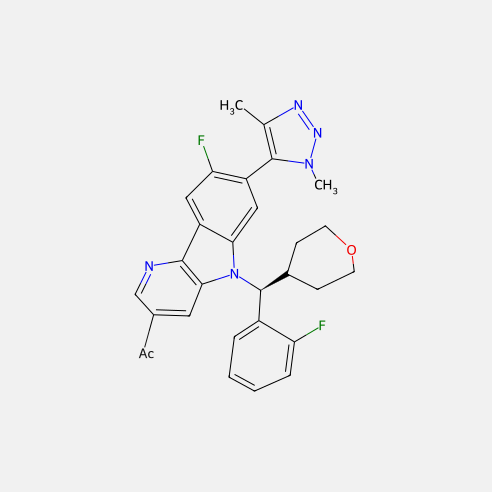 CC(=O)c1cnc2c3cc(F)c(-c4c(C)nnn4C)cc3n([C@H](c3ccccc3F)C3CCOCC3)c2c1